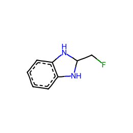 FCC1Nc2ccccc2N1